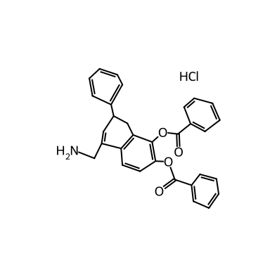 Cl.NCC1=CC(c2ccccc2)Cc2c1ccc(OC(=O)c1ccccc1)c2OC(=O)c1ccccc1